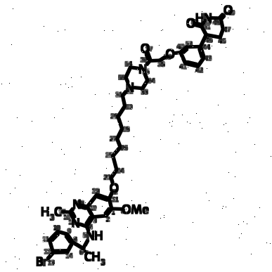 COc1cc2c(N[C@H](C)c3cccc(Br)c3)nc(C)nc2cc1OCCCCCCCCCN1CCN(C(=O)COc2cccc(C3CCC(=O)NC3=O)c2)CC1